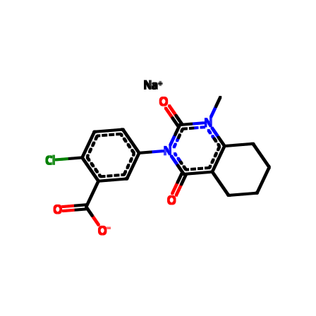 Cn1c2c(c(=O)n(-c3ccc(Cl)c(C(=O)[O-])c3)c1=O)CCCC2.[Na+]